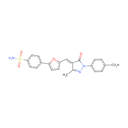 CC1=NN(c2ccc(C(=O)O)cc2)C(=O)/C1=C/c1ccc(-c2ccc(S(N)(=O)=O)cc2)o1